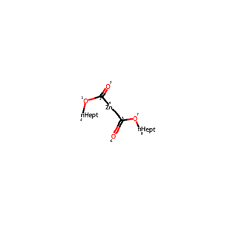 CCCCCCCO[C](=O)[Zn][C](=O)OCCCCCCC